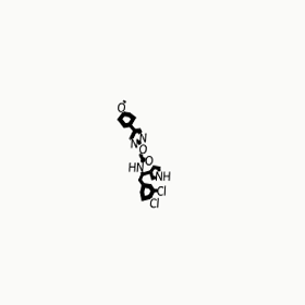 COc1ccc(-c2cnc(OCC(=O)NC(Cc3ccc(Cl)c(Cl)c3)C3CCNC3)nc2)cc1